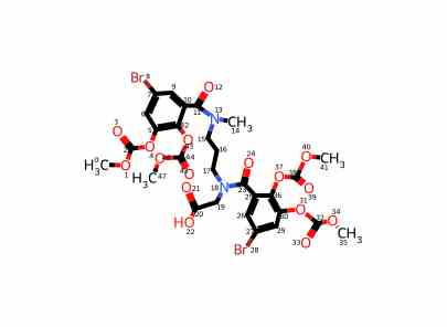 COC(=O)Oc1cc(Br)cc(C(=O)N(C)CCCN(CC(=O)O)C(=O)c2cc(Br)cc(OC(=O)OC)c2OC(=O)OC)c1OC(=O)OC